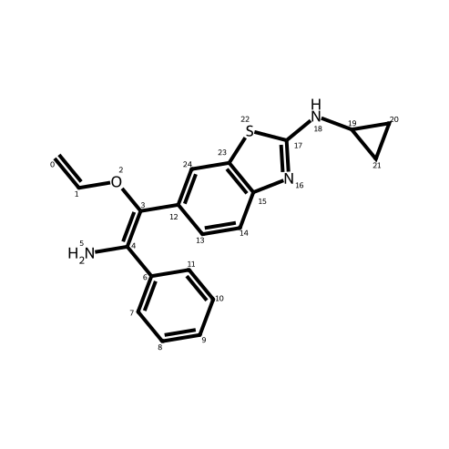 C=CO/C(=C(\N)c1ccccc1)c1ccc2nc(NC3CC3)sc2c1